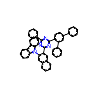 c1ccc(-c2ccc(-c3nc(-c4ccccc4)nc(-c4cc5ccccc5cc4-n4c5ccccc5c5ccccc54)n3)c(-c3ccccc3)c2)cc1